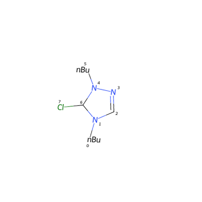 CCCCN1C=NN(CCCC)C1Cl